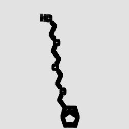 OCCOCCOCCOCC1CC2C=CC1C2